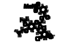 CNS(=O)(=O)c1cccc(C(=O)OCC(=O)O[C@@H](Cc2c(Cl)c[n+]([O-])cc2Cl)c2ccc(OC(F)F)c(OCC3CC3)c2)c1